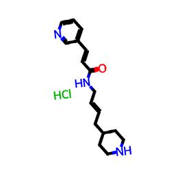 Cl.O=C(/C=C/c1cccnc1)NC/C=C/CC1CCNCC1